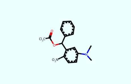 CN(C)c1ccc([N+](=O)[O-])c(C(OC(=O)C(Cl)(Cl)Cl)c2ccccc2)c1